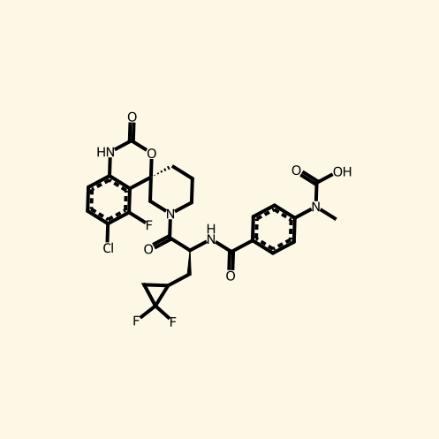 CN(C(=O)O)c1ccc(C(=O)N[C@@H](CC2CC2(F)F)C(=O)N2CCC[C@@]3(C2)OC(=O)Nc2ccc(Cl)c(F)c23)cc1